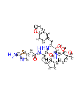 COc1ccc(CC(NC(=O)C(C)NC(=O)Cc2cnc(N)s2)C(=O)NC(CC2=CCCC2)C(=O)C2(C)CO2)cc1